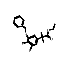 CCOC(=O)C(C)(C)c1cc(F)c(F)c(OCc2ccccc2)c1